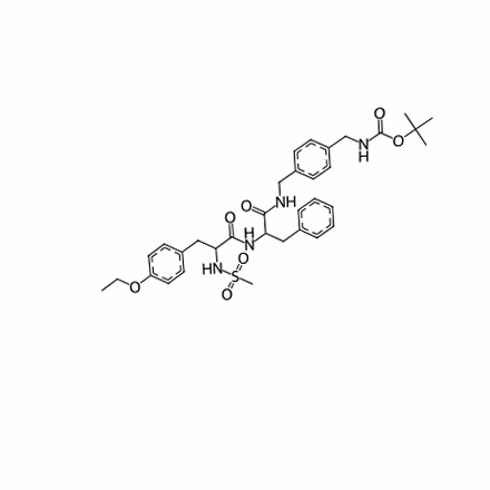 CCOc1ccc(CC(NS(C)(=O)=O)C(=O)NC(Cc2ccccc2)C(=O)NCc2ccc(CNC(=O)OC(C)(C)C)cc2)cc1